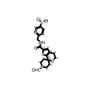 CC[S+]([O-])c1ccc(CNC(=O)c2cc3c(s2)C2(CCN(C=O)CC2)OCC3)nc1